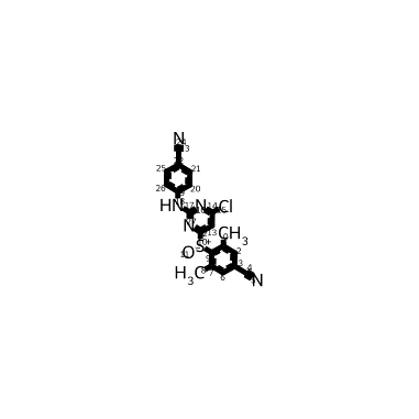 Cc1cc(C#N)cc(C)c1[S+]([O-])c1cc(Cl)nc(Nc2ccc(C#N)cc2)n1